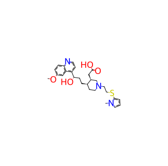 COc1ccc2nccc([C@@H](O)CC[C@@H]3CCN(CCSc4cccn4C)C[C@@H]3CC(=O)O)c2c1